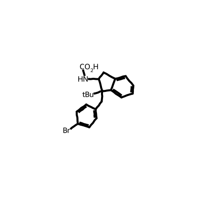 CC(C)(C)C1(Cc2ccc(Br)cc2)c2ccccc2CC1NC(=O)O